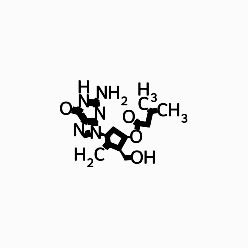 C=C1[C@H](CO)[C@@H](OC(=O)CC(C)C)C[C@@H]1n1cnc2c(=O)[nH]c(N)nc21